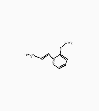 CCCCCCOc1ccccc1C=CC(=O)O